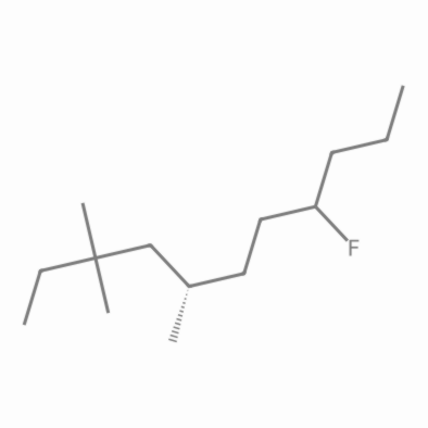 CCCC(F)CC[C@H](C)CC(C)(C)CC